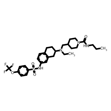 CCCNC(=O)N1CCC(CN(CC)C2CCc3ccc(NS(=O)(=O)c4ccc(OC(F)(F)F)cc4)cc3C2)CC1